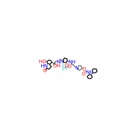 O=C(CCN1CCC(OC(=O)Nc2ccccc2-c2ccccc2)CC1)Nc1ccc(CNC[C@@H](O)c2ccc(O)c3[nH]c(=O)ccc23)cc1OC(F)(F)F